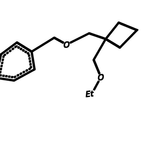 CCOCC1(COCc2ccccc2)CCC1